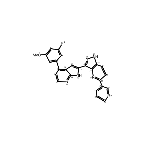 COc1cc(F)cc(-c2ccnc3[nH]c(-c4n[nH]c5ccc(-c6cccnc6)nc45)cc23)c1